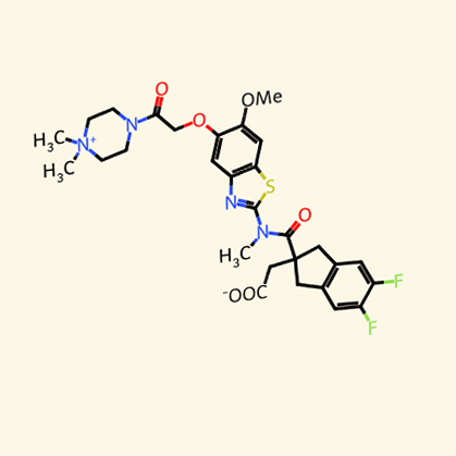 COc1cc2sc(N(C)C(=O)C3(CC(=O)[O-])Cc4cc(F)c(F)cc4C3)nc2cc1OCC(=O)N1CC[N+](C)(C)CC1